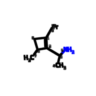 CC(C)C1=C(C(C)N)C(C)C1